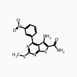 CSc1nc(-c2cccc([N+](=O)[O-])c2)c2c(N)c(C(N)=O)sc2n1